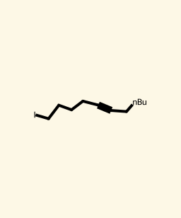 CCCCCC#CCCCCI